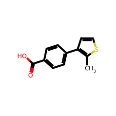 Cc1sccc1-c1ccc(C(=O)O)cc1